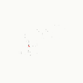 Cc1c(F)cccc1NC(=O)Nc1ccc(Cl)c(S(=O)(=O)N2[C@@H]3CC[C@H]2CC(=O)C3)c1O